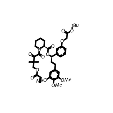 C=CC(=O)OCC(C)(C)C(=O)C(=O)N1CCCC[C@H]1C(=O)O[C@H](CCc1cc(OC)c(OC)c(OC)c1)c1cccc(OCC(=O)OC(C)(C)C)c1